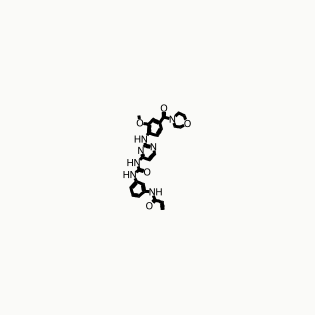 C=CC(=O)Nc1cccc(NC(=O)Nc2ccnc(Nc3ccc(C(=O)N4CCOCC4)cc3OC)n2)c1